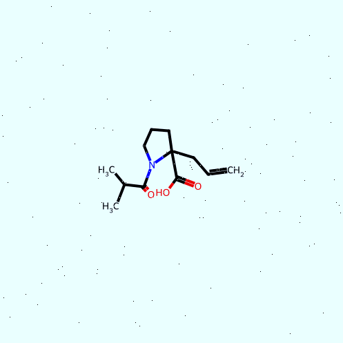 C=CCC1(C(=O)O)CCCN1C(=O)C(C)C